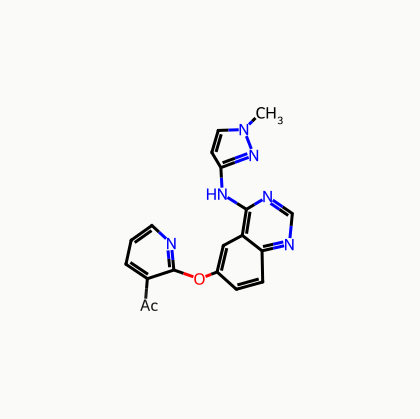 CC(=O)c1cccnc1Oc1ccc2ncnc(Nc3ccn(C)n3)c2c1